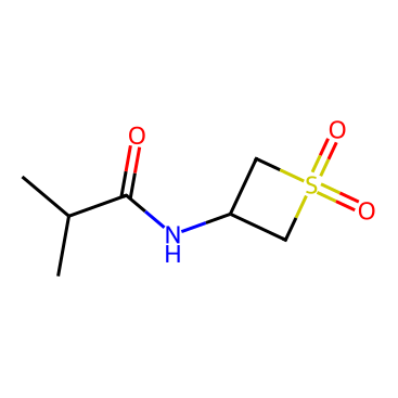 CC(C)C(=O)NC1CS(=O)(=O)C1